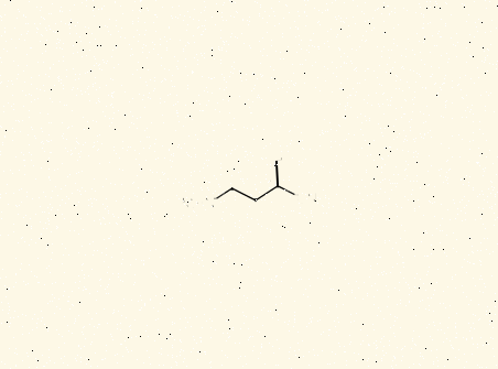 CNCCC(C)C#N